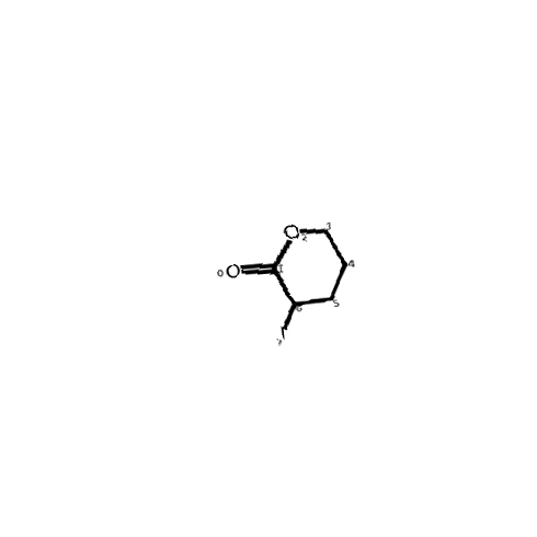 O=C1OCCCC1I